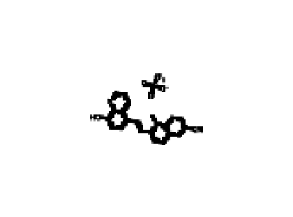 C[n+]1c(C=Cc2ccc(O)c3ncccc23)ccc2cc(C#N)ccc21.O=S(=O)([O-])C(F)(F)F